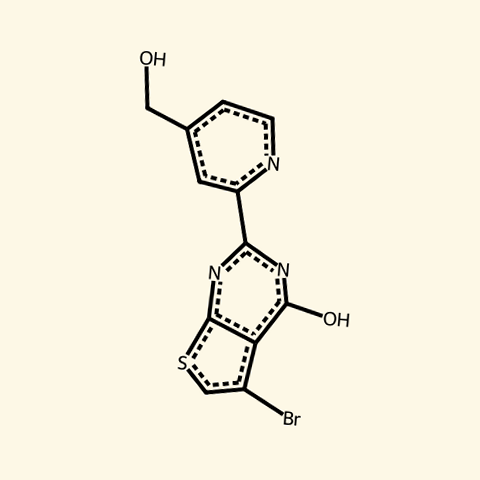 OCc1ccnc(-c2nc(O)c3c(Br)csc3n2)c1